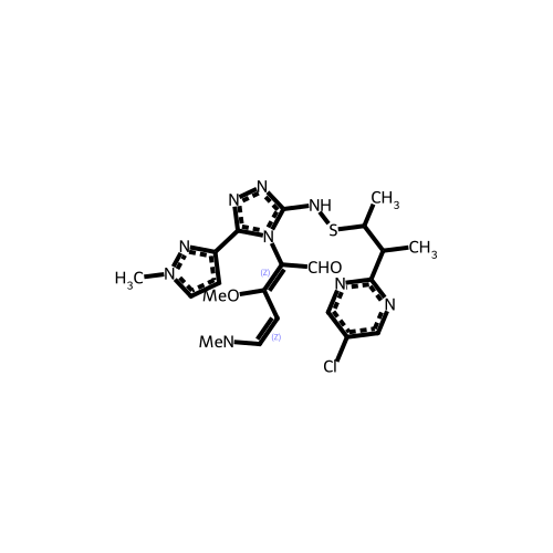 CN/C=C\C(OC)=C(/C=O)n1c(NSC(C)C(C)c2ncc(Cl)cn2)nnc1-c1ccn(C)n1